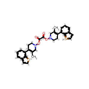 CC1=C(c2cccc3ccsc23)CCN(OC(=O)C(=O)ON2CCC(c3cccc4ccsc34)=C(C)C2)C1